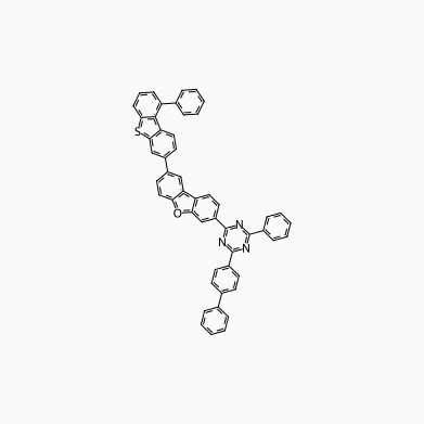 c1ccc(-c2ccc(-c3nc(-c4ccccc4)nc(-c4ccc5c(c4)oc4ccc(-c6ccc7c(c6)sc6cccc(-c8ccccc8)c67)cc45)n3)cc2)cc1